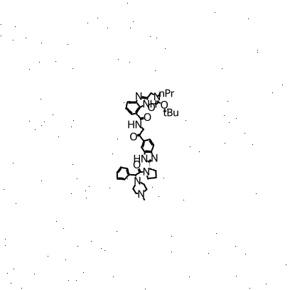 CCCN(Cc1nc2cccc(C(=O)NCC(=O)c3ccc4nc([C@@H]5CCCN5C(=O)[C@@H](c5ccccc5)N5CCN(C)CC5)[nH]c4c3)c2[nH]1)C(=O)OC(C)(C)C